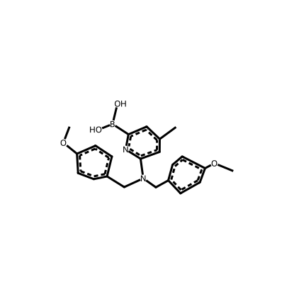 COc1ccc(CN(Cc2ccc(OC)cc2)c2cc(C)cc(B(O)O)n2)cc1